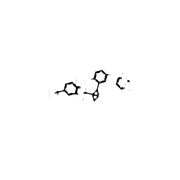 Oc1ccc(Oc2ccncn2)cc1C1C2CC21c1nc2ccc(C(F)(F)F)cc2[nH]1